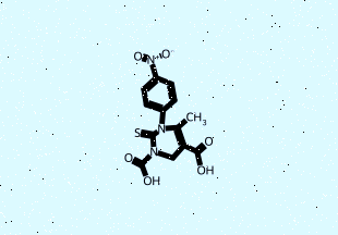 CC1=C(C(=O)O)CN(C(=O)O)C(=S)N1c1ccc([N+](=O)[O-])cc1